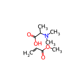 C=CC(=O)OC.CC(C(=O)O)N(C)C